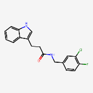 O=C(CCc1c[nH]c2ccccc12)NCc1ccc(F)c(Cl)c1